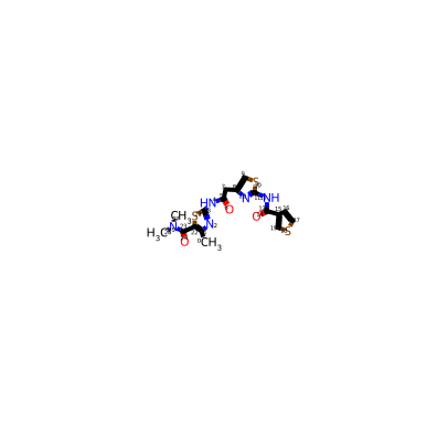 Cc1nc(NC(=O)Cc2csc(NC(=O)c3ccsc3)n2)sc1C(=O)N(C)C